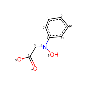 [O]C(=O)CN(O)c1ccccc1